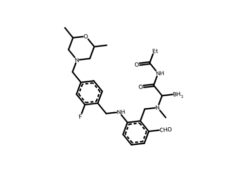 BC(C(=O)NC(=O)CC)N(C)Cc1c(C=O)cccc1NCc1ccc(CN2CC(C)OC(C)C2)cc1F